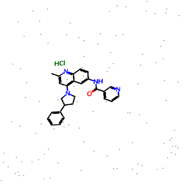 Cc1cc(N2CCC(c3ccccc3)C2)c2cc(NC(=O)c3cccnc3)ccc2n1.Cl